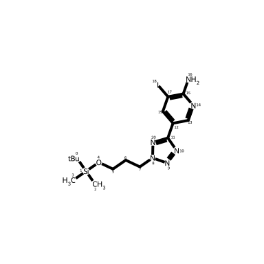 CC(C)(C)[Si](C)(C)OCCCn1nnc(-c2cnc(N)c(I)c2)n1